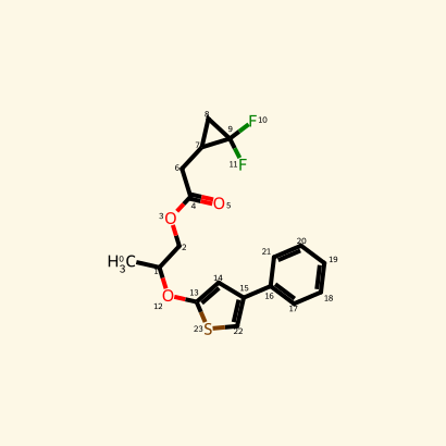 CC(COC(=O)CC1CC1(F)F)Oc1cc(-c2ccccc2)cs1